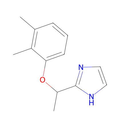 Cc1cccc(OC(C)c2ncc[nH]2)c1C